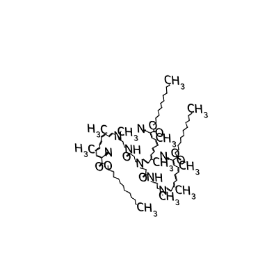 CCCCCCCCCCCCOC(=O)C(C#N)=CC(C)=CC=CC=C(C)C=CN(C)CCCNC(=O)CCN(C=CC(C)=CC=CC=C(C)C=C(C#N)C(=O)OCCCCCCCCCCCC)CCC(=O)NCCCN(C)C=CC(C)=CC=CC=C(C)C=C(C#N)C(=O)OCCCCCCCCCCCC